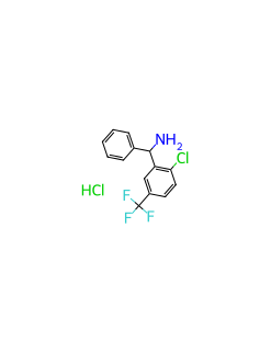 Cl.NC(c1ccccc1)c1cc(C(F)(F)F)ccc1Cl